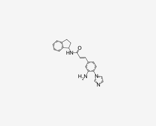 Nc1cc(/C=C/C(=O)NC2CCc3ccccc32)ccc1-n1ccnc1